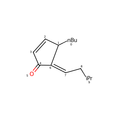 CCCCC1C=CC(=O)/C1=C/CC(C)C